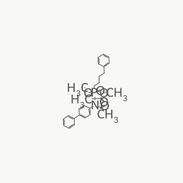 COC(=O)[C@](C)(N(C(C)=O)c1ccc(-c2ccccc2)cc1)P(=O)(CCCCc1ccccc1)OC